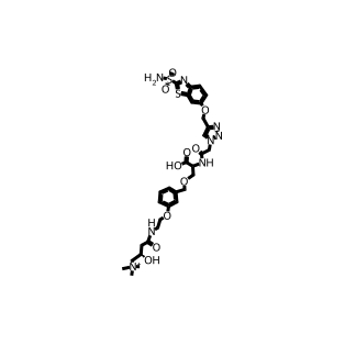 C[N+](C)(C)C[C@H](O)CC(=O)NCCOc1cccc(COCC(NC(=O)Cn2cc(COc3ccc4nc(S(N)(=O)=O)sc4c3)nn2)C(=O)O)c1